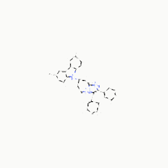 Cc1ccc2c(c1)c1cc(C)ccc1n2-c1ccn2c(-c3ccccc3)c(-c3ccccc3)nc2c1